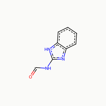 O=[C]Nc1nc2ccccc2[nH]1